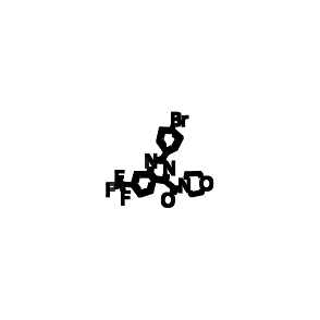 O=C(c1nc(-c2ccc(Br)cc2)nc2cc(C(F)(F)F)ccc12)N1CCOCC1